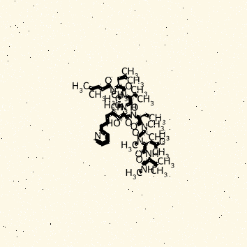 CC[C@H](NC(=O)[C@H]([C@H](O)[C@H](C)CCCc1ccccn1)N(C)C(=O)[C@H](C(C)C)N(C)C(=O)[C@H](CC(C)C)N(C)C(=O)CCC(C)C)C(=O)N(C)[C@H](C)C(=O)N(C)[C@@H](CC(C)C)C(=O)N[C@H](C(=O)NC)C(C)C